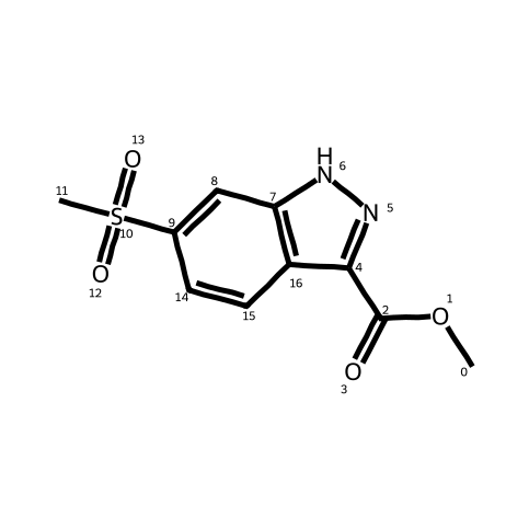 COC(=O)c1n[nH]c2cc(S(C)(=O)=O)ccc12